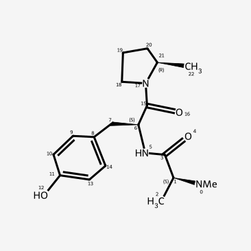 CN[C@@H](C)C(=O)N[C@@H](Cc1ccc(O)cc1)C(=O)N1CCC[C@H]1C